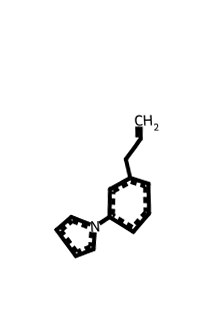 C=CCc1cccc(-n2cccc2)c1